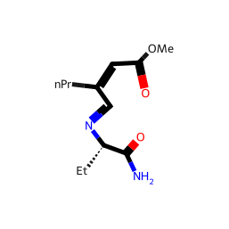 CCCC(=C/C(=O)OC)/C=N/[C@@H](CC)C(N)=O